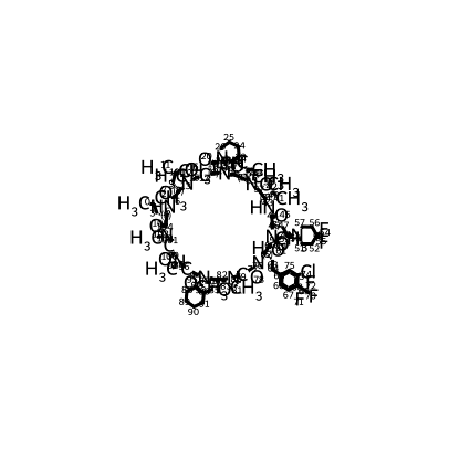 CC(C)C[C@@H]1NC(=O)[C@H](CC(C)C)N(C)C(=O)C[C@@H](C(=O)N2CCCCC2)N(C)C(=O)[C@H](C(C)C)N(C)C(=O)[C@H](C(C)C)NC(=O)[C@H](CC(=O)N2CCC(F)(F)CC2)N(C)C(=O)[C@H](CCc2ccc(C(F)(F)F)c(Cl)c2)NC(=O)CN(C)C(=O)[C@H](CC2CCCCC2)N(C)C(=O)CN(C)C(=O)CN(C)C1=O